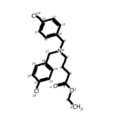 CCOC(=O)CCCN(Cc1ccc(Cl)cc1)Cc1ccc(Cl)cc1